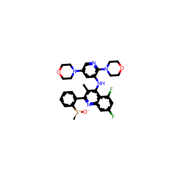 Cc1c(-c2ccccc2[S@+](C)[O-])nc2cc(F)cc(F)c2c1Nc1cc(N2CCOCC2)cnc1N1CCOCC1